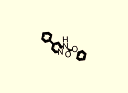 O=C(Nc1cc(-c2ccccc2)ccn1)Oc1ccccc1